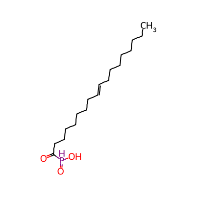 CCCCCCCCC=CCCCCCCCC(=O)[PH](=O)O